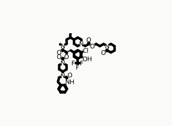 CC(CCN(C)C(=O)[C@@H](Cc1cc(Cl)c(O)c(C(F)(F)F)c1)OC(=O)N1CCC(N2CCc3ccccc3NC2=O)CC1)C1CCN(CC(=O)OCCCN2CCCCC2=O)CC1